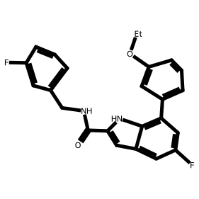 CCOc1cccc(-c2cc(F)cc3cc(C(=O)NCc4cccc(F)c4)[nH]c23)c1